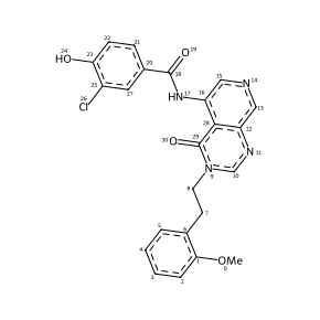 COc1ccccc1CCn1cnc2cncc(NC(=O)c3ccc(O)c(Cl)c3)c2c1=O